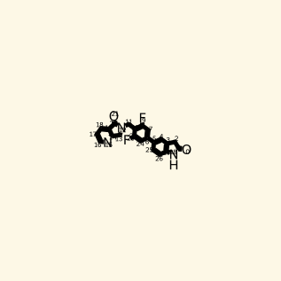 O=C1Cc2cc(-c3cc(F)c(CN4Cc5ncccc5C4=O)c(F)c3)ccc2N1